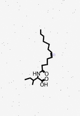 CCCCCC/C=C\CCCC(=O)NC(C(=O)O)C(C)CC